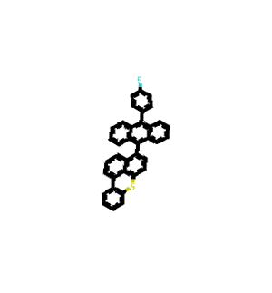 Fc1ccc(-c2c3ccccc3c(-c3ccc4c5c(cccc35)-c3ccccc3S4)c3ccccc23)cc1